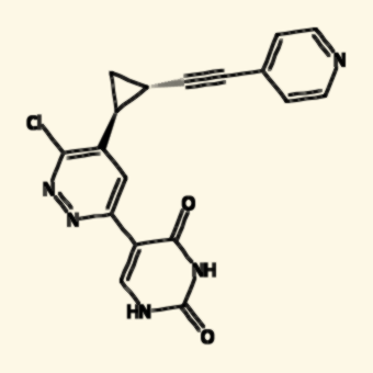 O=c1[nH]cc(-c2cc([C@H]3C[C@@H]3C#Cc3ccncc3)c(Cl)nn2)c(=O)[nH]1